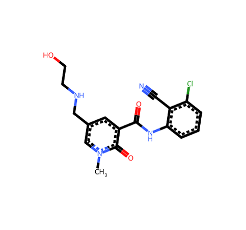 Cn1cc(CNCCO)cc(C(=O)Nc2cccc(Cl)c2C#N)c1=O